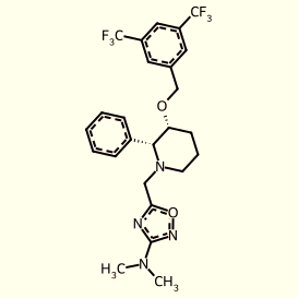 CN(C)c1noc(CN2CCC[C@@H](OCc3cc(C(F)(F)F)cc(C(F)(F)F)c3)[C@H]2c2ccccc2)n1